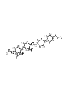 CCCc1ccc(C2CCC(COc3ccc(-c4ccc(OCC)c(F)c4F)cc3F)CC2)cc1